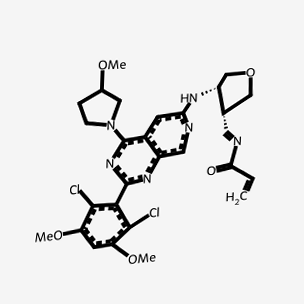 C=CC(=O)/N=C/[C@H]1COC[C@H]1Nc1cc2c(N3CCC(OC)C3)nc(-c3c(Cl)c(OC)cc(OC)c3Cl)nc2cn1